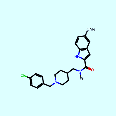 CCN(CC1CCN(Cc2ccc(Cl)cc2)CC1)C(=O)c1cc2cc(OC)ccc2[nH]1